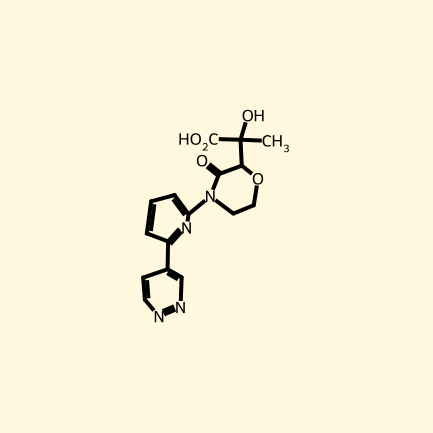 CC(O)(C(=O)O)C1OCCN(c2cccc(-c3ccnnc3)n2)C1=O